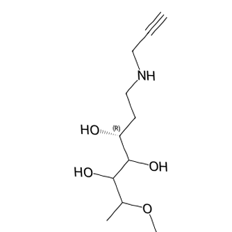 C#CCNCC[C@@H](O)C(O)C(O)C(C)OC